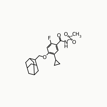 CS(=O)(=O)NC(=O)c1cc(C2CC2)c(OCC2C3CC4CC(C3)CC2C4)cc1F